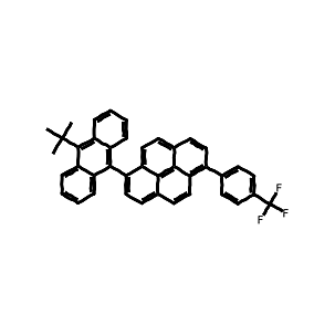 CC(C)(C)c1c2ccccc2c(-c2ccc3ccc4c(-c5ccc(C(F)(F)F)cc5)ccc5ccc2c3c54)c2ccccc12